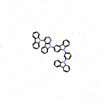 C1=CC2c3ccccc3N(c3cccc(-n4c5ccccc5c5cc(-n6c7c(c8ccccc86)C(n6c8ccccc8c8ccccc86)=CCC7)ccc54)c3)C2C=C1